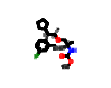 Cc1cc(F)ccc1[C@H](C1CCCC1)[C@H](C)OC[C@@](C)(C=O)NC(=O)OC(C)(C)C